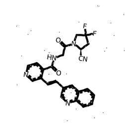 N#C[C@@H]1CC(F)(F)CN1C(=O)CNC(=O)c1ccncc1/C=C/c1cnc2ccccc2c1